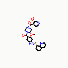 COc1cnccc1C(=O)N1CCN(C(=O)c2ccc(NSc3cccc4cccnc34)cc2OC)CC1